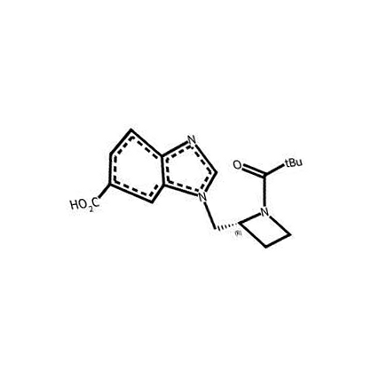 CC(C)(C)C(=O)N1CC[C@@H]1Cn1cnc2ccc(C(=O)O)cc21